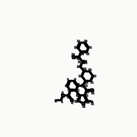 CCOC(=O)c1cccc2c1c1noc(C)c1c(=O)n2C1CCCC(CNC(=O)c2ccccc2)C1